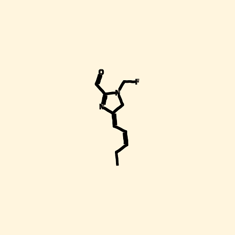 CC/C=C\C=C1/CN(CF)C(C=O)=N1